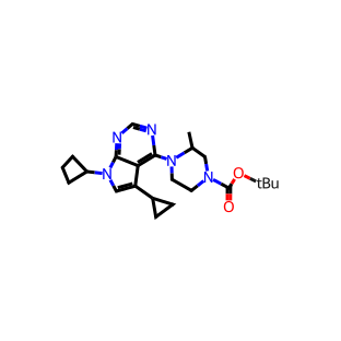 CC1CN(C(=O)OC(C)(C)C)CCN1c1ncnc2c1c(C1CC1)cn2C1CCC1